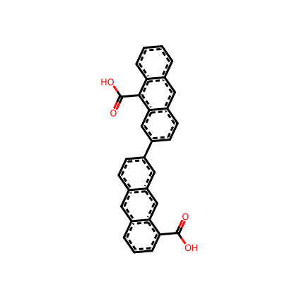 O=C(O)c1cccc2cc3ccc(-c4ccc5cc6ccccc6c(C(=O)O)c5c4)cc3cc12